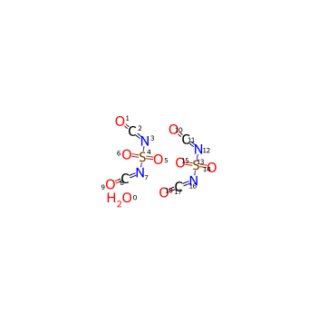 O.O=C=NS(=O)(=O)N=C=O.O=C=NS(=O)(=O)N=C=O